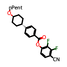 CCCCCO[C@H]1CC[C@H](c2ccc(C(=O)Oc3ccc(C#N)c(F)c3F)cc2)CC1